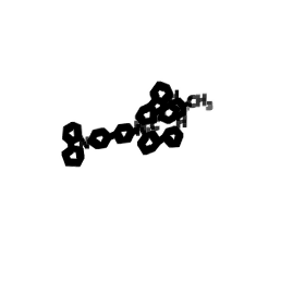 C[C@H]1C[C@@H]2C[C@H](C1)C1(c3ccccc3-c3ccc(N(c4ccc(-c5ccc(-n6c7ccccc7c7ccccc76)cc5)cc4)c4cccc(-c5ccccc5)c4)cc31)[C@H](C)C2